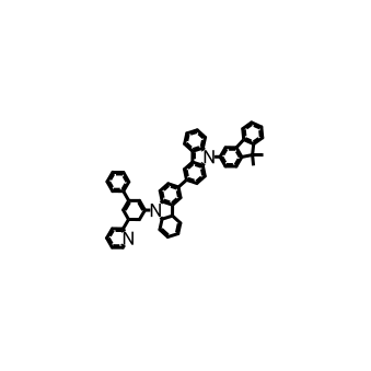 CC1(C)c2ccccc2-c2cc(-n3c4ccccc4c4cc(-c5ccc6c(c5)C5C=CC=CC5N6C5=CC(c6ccccc6)=CC(c6ccccn6)C5)ccc43)ccc21